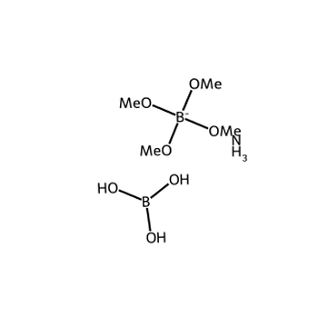 CO[B-](OC)(OC)OC.N.OB(O)O